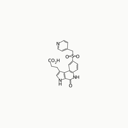 O=C(O)CCc1c[nH]c2c(=O)[nH]c3ccc(S(=O)(=O)Cc4ccncc4)cc3c12